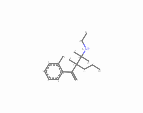 C=C(c1ccccc1C)C(C)(CCC)C(C)(C)NCC